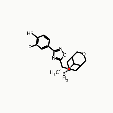 BN1CC2COCC(C1)C2O[C@H](C)c1nc(-c2ccc(S)c(F)c2)no1